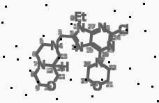 CCn1c(CN2CCN3CCOC[C@H]3C2)nc2c(N3CCOCC3)nc(Cl)nc21